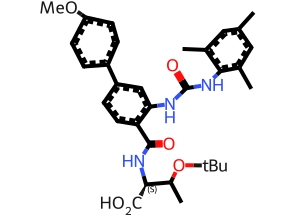 COc1ccc(-c2ccc(C(=O)N[C@H](C(=O)O)C(C)OC(C)(C)C)c(NC(=O)Nc3c(C)cc(C)cc3C)c2)cc1